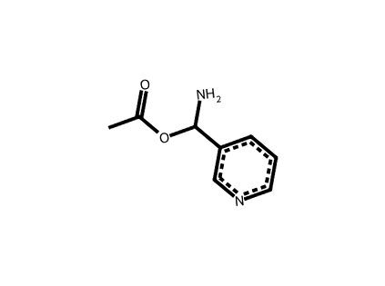 CC(=O)OC(N)c1cccnc1